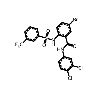 O=C(Nc1ccc(Cl)c(Cl)c1)c1cc(Br)ccc1NS(=O)(=O)c1cccc(C(F)(F)F)c1